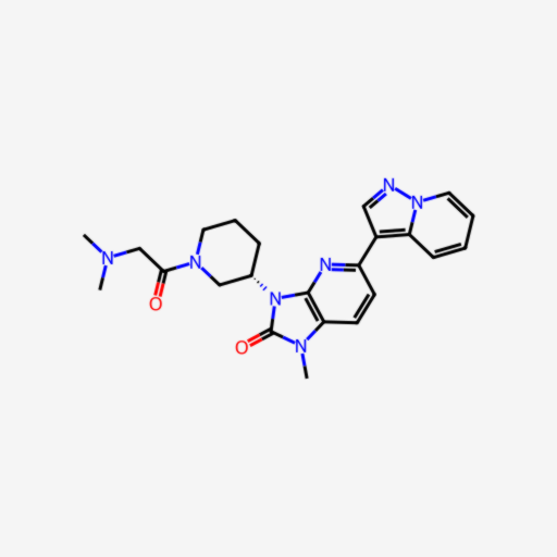 CN(C)CC(=O)N1CCC[C@H](n2c(=O)n(C)c3ccc(-c4cnn5ccccc45)nc32)C1